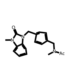 CC(=O)N(C)Cc1ccc(Cn2c(=O)n(C)c3ccccc32)cc1